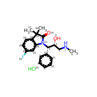 CNC[C@@H](O)[C@H](c1ccccc1)N1C(=O)C(C)(C)c2ccc(F)cc21.Cl